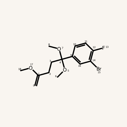 C=C(CCC(OC)(OC)c1ccc(F)c(Br)c1)OC